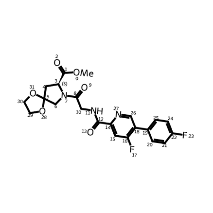 COC(=O)[C@@H]1CC2(CN1C(=O)CNC(=O)c1cc(F)c(-c3ccc(F)cc3)cn1)OCCO2